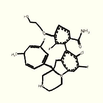 CC1C=CC(C23CNCCN2c2cc(F)c(Cl)c(-c4c(C(N)=O)ccc(OCCO)c4F)c2C3)=CC(F)=C1